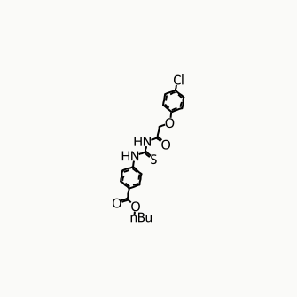 CCCCOC(=O)c1ccc(NC(=S)NC(=O)COc2ccc(Cl)cc2)cc1